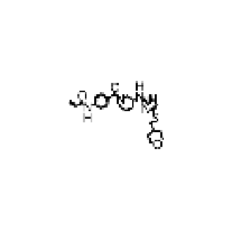 C=CC(=O)Nc1ccc(C(=O)N2CCCC(Nn3ncc(SCC4CCOCC4)n3)C2)cc1